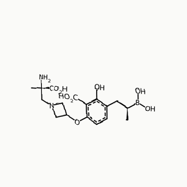 C[C@@H](Cc1ccc(OC2CN(C[C@](C)(N)C(=O)O)C2)c(C(=O)O)c1O)B(O)O